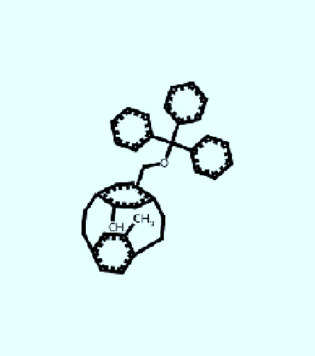 Cc1cc2c(COC(c3ccccc3)(c3ccccc3)c3ccccc3)cc1CCc1ccc(c(C)c1)CC2